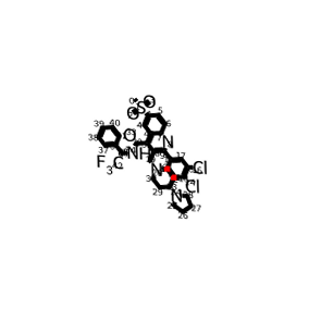 CS(=O)(=O)c1ccc2nc(-c3ccc(Cl)c(Cl)c3)c(CN3CCC(N4CCCC4)CC3)c(C(=O)N[C@H](c3ccccc3)C(F)(F)F)c2c1